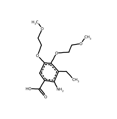 CCc1c(N)c(C(=O)O)cc(OCCOC)c1OCCOC